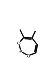 CC1=C(C)O[P]OC=C1